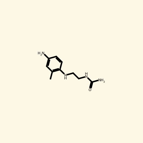 Cc1cc(N)ccc1NCCNC(N)=O